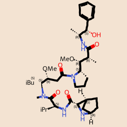 CC[C@H](C)[C@@H]([C@@H](CC(=O)N1CCC[C@H]1[C@H](OC)[C@@H](C)C(=O)N[C@H](C)[C@@H](O)c1ccccc1)OC)N(C)C(=O)[C@@H](NC(=O)[C@H]1N[C@@H]2CC[C@H]1C2)C(C)C